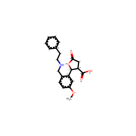 COc1ccc(CNCCc2ccccc2)c(C2OC(=O)CC2C(=O)O)c1